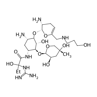 CCC(O)(NC(=N)N)C(=O)N[C@@H]1C[C@H](N)C(O[C@H]2OC(CNCCCO)=CC[C@H]2N)[C@H](O)[C@H]1O[C@H]1OC[C@](C)(O)C[C@H]1O